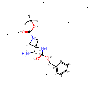 CC(C)(C)OC(=O)N1CC(CN)(NC(=O)OCc2ccccc2)C1